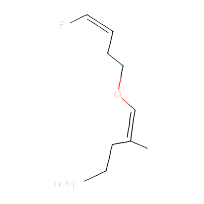 CC/C=C\CCOC=C(C)CCCCCCCCC